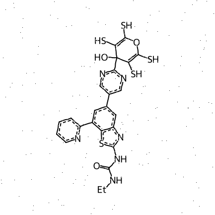 CCNC(=O)Nc1nc2cc(-c3cnc(C4(O)C(S)=C(S)OC(S)=C4S)nc3)cc(-c3ccccn3)c2s1